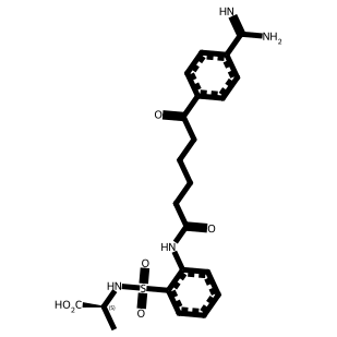 C[C@H](NS(=O)(=O)c1ccccc1NC(=O)CCCCC(=O)c1ccc(C(=N)N)cc1)C(=O)O